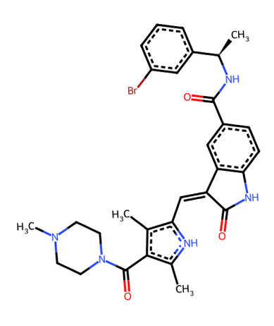 Cc1[nH]c(/C=C2\C(=O)Nc3ccc(C(=O)N[C@H](C)c4cccc(Br)c4)cc32)c(C)c1C(=O)N1CCN(C)CC1